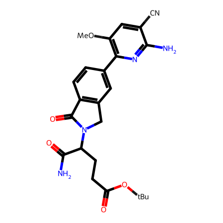 COc1cc(C#N)c(N)nc1-c1ccc2c(c1)CN(C(CCC(=O)OC(C)(C)C)C(N)=O)C2=O